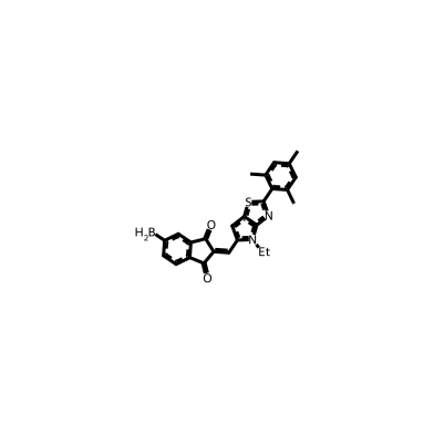 Bc1ccc2c(c1)C(=O)/C(=C\c1cc3sc(-c4c(C)cc(C)cc4C)nc3n1CC)C2=O